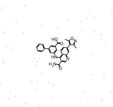 Cc1noc(C)c1-c1ccc2c(Nc3cc(C(=O)O)cc(-c4ccccc4)c3)c(C(N)=O)cnc2c1